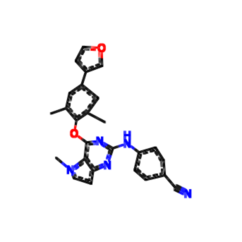 Cc1cc(-c2ccoc2)cc(C)c1Oc1nc(Nc2ccc(C#N)cc2)nc2ccn(C)c12